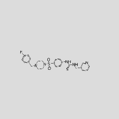 O=S(=O)(c1ccc(NC(=S)NCc2cccnc2)cc1)N1CCN(Cc2ccc(F)cc2)CC1